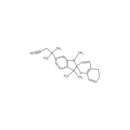 C#CCC(C)(C)c1ccc2c(c1)N(C)C1(C=CC3=C(C=CCC3)O1)C2(C)C